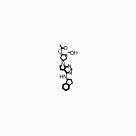 CC(=O)O[C@H]1C[C@@H](n2ccc3c(N[C@H]4CCc5ccccc54)ncnc32)C[C@H]1CO